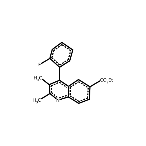 CCOC(=O)c1ccc2nc(C)c(C)c(-c3ccccc3F)c2c1